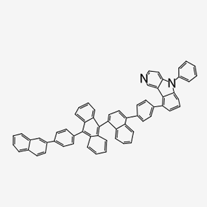 c1ccc(-n2c3ccncc3c3c(-c4ccc(-c5ccc(-c6c7ccccc7c(-c7ccc(-c8ccc9ccccc9c8)cc7)c7ccccc67)c6ccccc56)cc4)cccc32)cc1